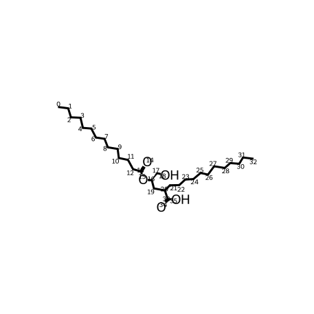 CCCCCCCCCCCCCC(=O)O[C@@H](CO)CC(CCCCCCCCCCCC)C(=O)O